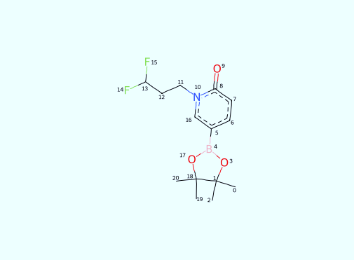 CC1(C)OB(c2ccc(=O)n(CCC(F)F)c2)OC1(C)C